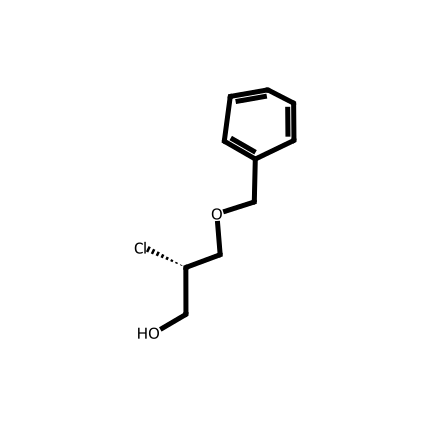 OC[C@H](Cl)COCc1ccccc1